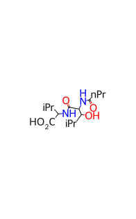 CCCC(=O)NC(C(=O)NC(C(=O)O)C(C)C)C(O)C(C)C